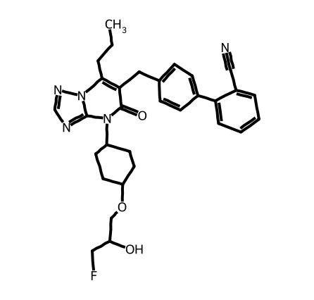 CCCc1c(Cc2ccc(-c3ccccc3C#N)cc2)c(=O)n(C2CCC(OCC(O)CF)CC2)c2ncnn12